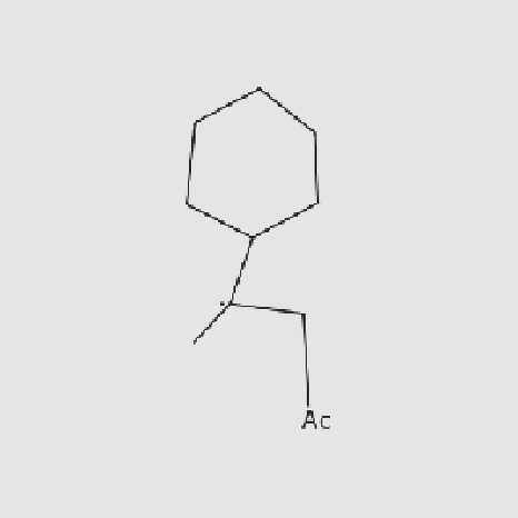 C[C](CC(C)=O)C1CCCCC1